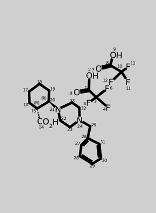 O=C(O)C(F)(F)F.O=C(O)C(F)(F)F.O=C(O)[C@@H]1CCCC[C@H]1N1CCN(Cc2ccccc2)CC1